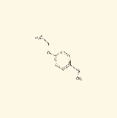 CCOc1[c]cc(SC)cc1